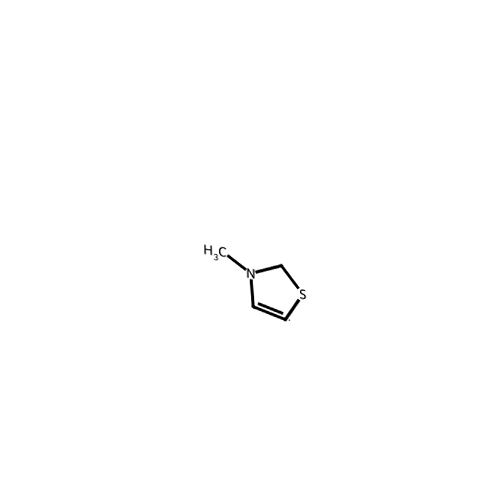 CN1C=[C]SC1